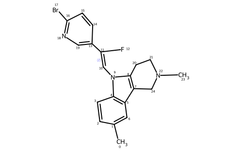 Cc1ccc2c(c1)c1c(n2/C=C(\F)c2ccc(Br)nc2)CCN(C)C1